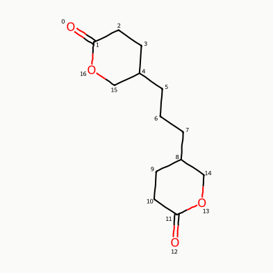 O=C1CCC(CCCC2CCC(=O)OC2)CO1